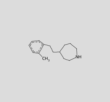 Cc1ccccc1CCC1CCCNCC1